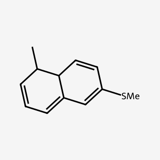 CSC1=CC2=CC=CC(C)C2C=C1